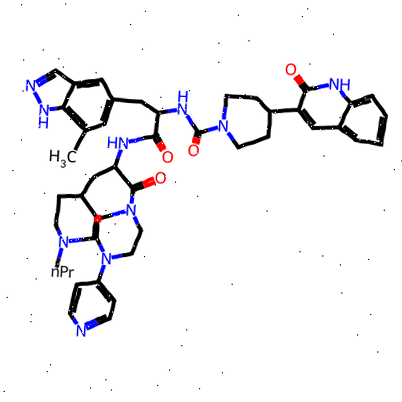 CCCN1CCC(CC(NC(=O)C(Cc2cc(C)c3[nH]ncc3c2)NC(=O)N2CCC(c3cc4ccccc4[nH]c3=O)CC2)C(=O)N2CCN(c3ccncc3)CC2)CC1